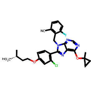 C[C@H](CCOc1ccc(-c2nc3c(OC4(C)CC4)ncnc3n2Cc2c(F)cccc2C#N)c(Cl)c1)C(=O)O